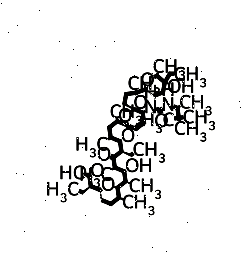 CC[C@@H](C(=O)[C@@H](C)[C@@H](O)[C@H](C)[C@@H]1O[C@@H]([C@@H](CC)C(=O)O)CC[C@@H]1C)[C@H]1O[C@]2(C=C[C@@H](NC(=O)N[C@@H](C)C(C)(C)C)[C@]3(CC[C@@](C)([C@H]4CC[C@](O)(CC)[C@H](C)O4)O3)O2)[C@H](C)C[C@@H]1C